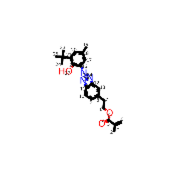 C=C(C)C(=O)OCCc1ccc2c(c1)n1n(-c3cc(C)cc(C(C)(C)C)c3O)n21